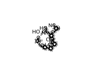 CN1C(=O)CC[C@H]1CNCc1ccc(-c2cccc(-c3cccc4c3cnn4Cc3cc(OCc4cncc(C#N)c4)c(CN[C@@H](CO)C(=O)O)cc3Cl)c2Cl)cc1